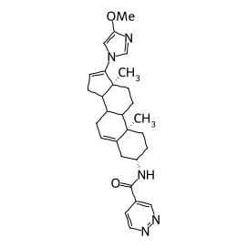 COc1cn(C2=CCC3C4CC=C5C[C@@H](NC(=O)c6ccnnc6)CC[C@]5(C)C4CC[C@]23C)cn1